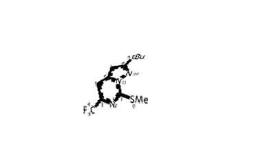 CSc1nc(C(F)(F)F)cc2cc(C(C)(C)C)nn12